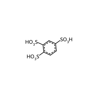 O=S(=O)(O)c1ccc(S(=O)(=O)O)c(S(=O)(=O)O)c1